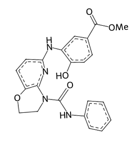 COC(=O)c1ccc(O)c(Nc2ccc3c(n2)N(C(=O)Nc2ccccc2)CCO3)c1